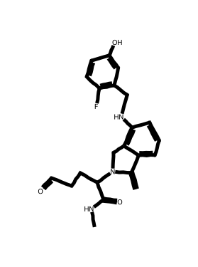 C=C1c2cccc(NCc3cc(O)ccc3F)c2CN1C(CCC=O)C(=O)NC